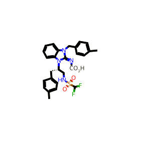 Cc1ccc(C[C@@H](CNS(=O)(=O)C(F)F)n2c(=NC(=O)O)n(Cc3ccc(C)cc3)c3ccccc32)cc1